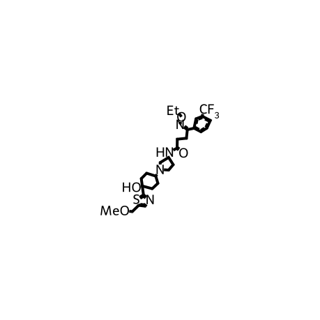 CCON=C(CCC(=O)N[C@@H]1CCN(C2CCC(O)(c3ncc(COC)s3)CC2)C1)c1cccc(C(F)(F)F)c1